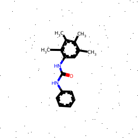 Cc1cc(NC(=O)Nc2ccccc2)c(C)c(C)c1C